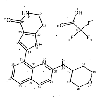 O=C(O)C(F)(F)F.O=C1NCCc2[nH]c(-c3cccc4ccc(NC5CCOCC5)nc34)cc21